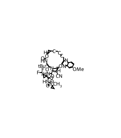 COc1ccc2nc3c(nc2c1)O[C@H]1CN(C(=O)[C@H](C(C)(C)C)NC(=O)O[C@@H]2CC2CCCCC3)[C@H](C(=O)N[C@]2(C(=O)NS(=O)(=O)C3(C)CC3)C[C@H]2C(F)F)[C@@H]1CC#N